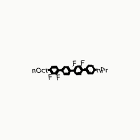 CCCCCCCCc1ccc(-c2ccc(-c3ccc(C4=CCC(CCC)CC4)c(F)c3F)cc2)c(F)c1F